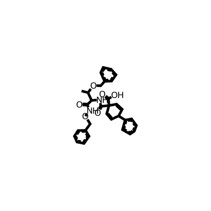 CC(OCc1ccccc1)C(NC(=O)C1(C(=O)O)C=CC(c2ccccc2)C=C1)C(=O)NOCc1ccccc1